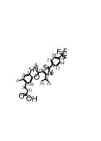 Cc1cc(CN(C)C(=O)c2sc(-c3ccc(C(F)(F)F)cc3)nc2C(C)C)ccc1CCC(=O)O